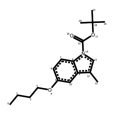 CCCCOc1ccc2c(c1)c(C)cn2C(=O)OC(C)(C)C